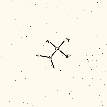 CC[N](C)[Ge]([CH](C)C)([CH](C)C)[CH](C)C